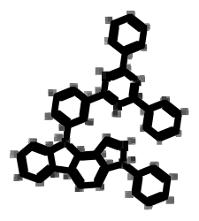 c1ccc(-c2nc(-c3ccccc3)nc(-c3cccc(-n4c5ccccc5c5ccc6c(cnn6-c6ccccc6)c54)c3)n2)cc1